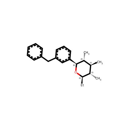 CC[C@H]1O[C@@H](c2cccc(Cc3ccccc3)c2)[C@H](C)[C@@H](C)[C@@H]1C